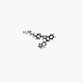 CCN(CC1CCCC1)c1nc2ccccc2nc1CNc1ncc(OCCSC)cn1